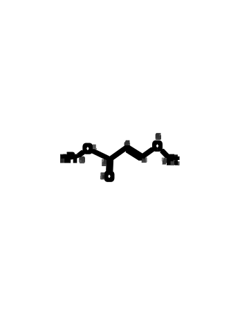 CCCOC(=O)C=COCC